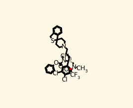 CN(C[C@](CCCN1CCC2(CC1)SCc1ccccc12)(c1ccc(Cl)c(Cl)c1)N(C)C(=O)Oc1ccccc1)C(=O)C(F)(F)F